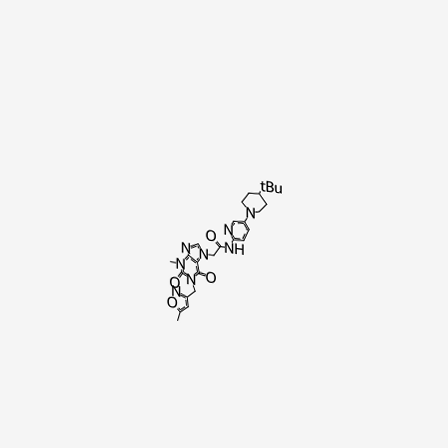 Cc1cc(Cn2c(=O)c3c(ncn3CC(=O)Nc3ccc(N4CCC(C(C)(C)C)CC4)cn3)n(C)c2=O)no1